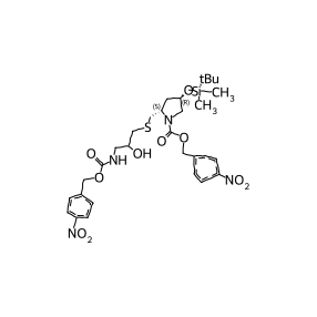 CC(C)(C)[Si](C)(C)O[C@@H]1C[C@@H](CSCC(O)CNC(=O)OCc2ccc([N+](=O)[O-])cc2)N(C(=O)OCc2ccc([N+](=O)[O-])cc2)C1